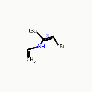 C=CN/C(=C\C(C)CC)C(C)(C)C